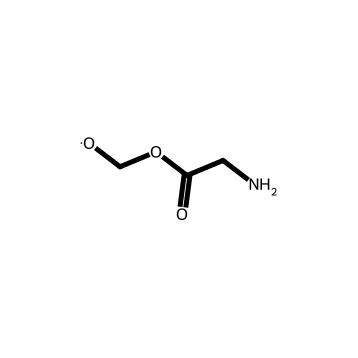 NCC(=O)OC[O]